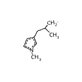 [CH2]C(C)Cc1ccn(C)c1